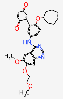 COCCOc1cc2ncnc(Nc3ccc(OC4CCCCCC4)c(C4=CC(=O)C=CC4=O)c3)c2cc1OC